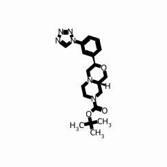 CC(C)(C)OC(=O)N1CCN2C[C@@H](c3cccc(-n4cnnn4)c3)OC[C@@H]2C1